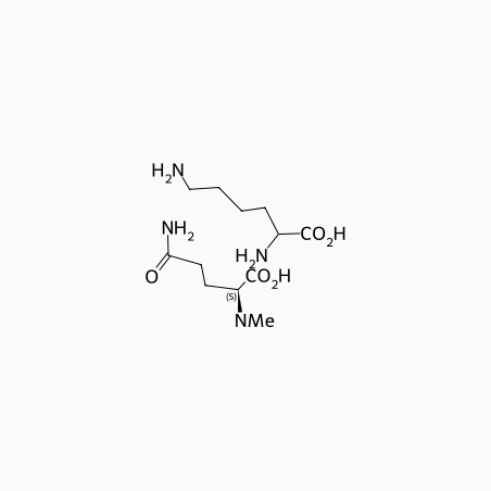 CN[C@@H](CCC(N)=O)C(=O)O.NCCCCC(N)C(=O)O